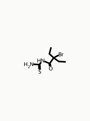 CCC(Br)(CC)C(=O)NC(N)=S